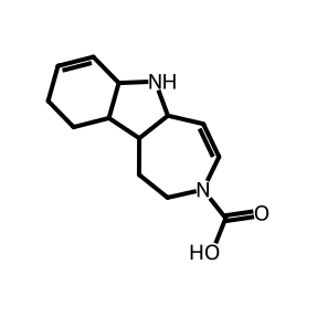 O=C(O)N1C=CC2NC3C=CCCC3C2CC1